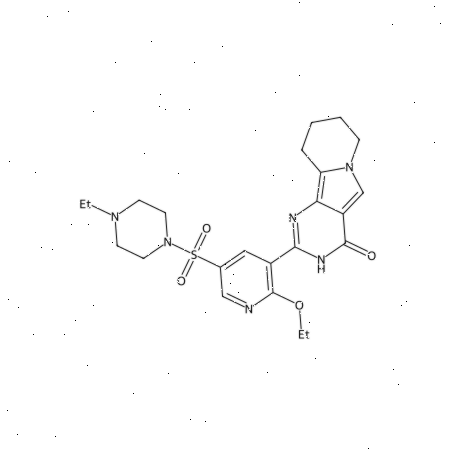 CCOc1ncc(S(=O)(=O)N2CCN(CC)CC2)cc1-c1nc2c3n(cc2c(=O)[nH]1)CCCC3